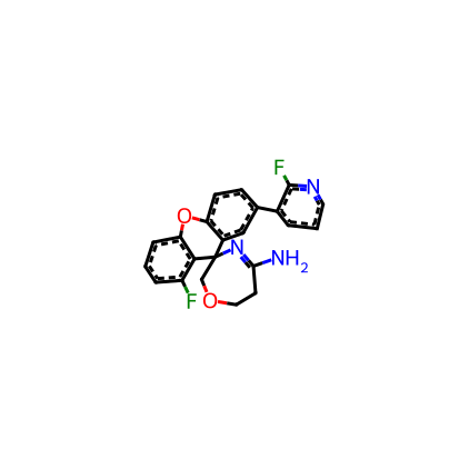 NC1=NC2(COCC1)c1cc(-c3cccnc3F)ccc1Oc1cccc(F)c12